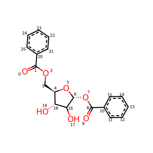 O=C(OC[C@H]1O[C@H](OC(=O)c2ccccc2)C(O)[C@@H]1O)c1ccccc1